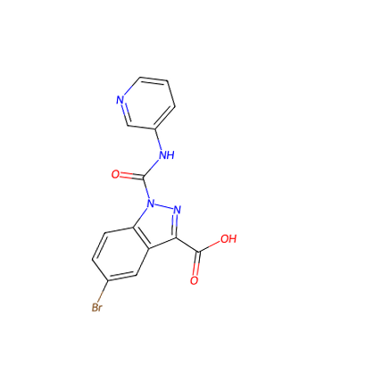 O=C(O)c1nn(C(=O)Nc2cccnc2)c2ccc(Br)cc12